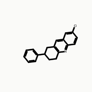 Clc1ccc2nc3c(cc2c1)CC(c1ccccc1)CC3